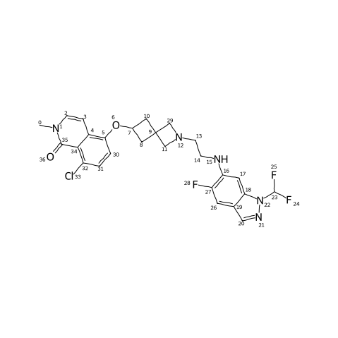 Cn1ccc2c(OC3CC4(C3)CN(CCNc3cc5c(cnn5C(F)F)cc3F)C4)ccc(Cl)c2c1=O